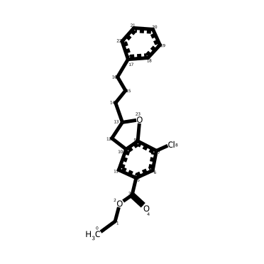 CCOC(=O)c1cc(Cl)c2c(c1)CC(CCCc1ccccc1)O2